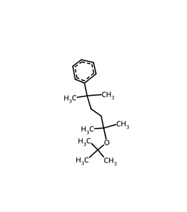 CC(C)(C)OC(C)(C)CCC(C)(C)c1ccccc1